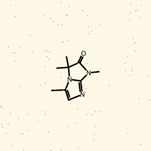 Cc1cnc2n1C(C)(C)C(=O)N2C